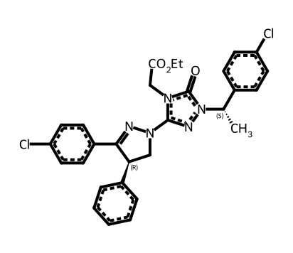 CCOC(=O)Cn1c(N2C[C@@H](c3ccccc3)C(c3ccc(Cl)cc3)=N2)nn([C@@H](C)c2ccc(Cl)cc2)c1=O